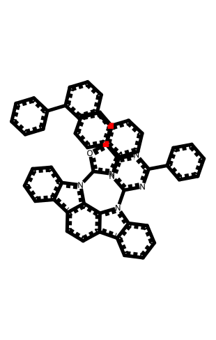 c1ccc(-c2cccc(-c3cccc4nc(-n5c6ccccc6c6ccc7c8ccccc8n(-c8nc(-c9ccccc9)nc(-c9ccccc9)n8)c7c65)oc34)c2)cc1